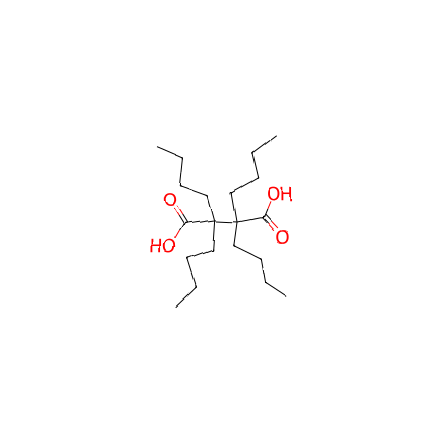 CCCCC(CCCC)(C(=O)O)C(CCCC)(CCCC)C(=O)O